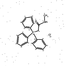 CNC(=O)C[P+](c1ccccc1)(c1ccccc1)c1ccccc1.[Cl-]